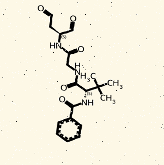 CC(C)(C)[C@H](NC(=O)c1ccccc1)C(=O)NCC(=O)N[C@H](C=O)CC=O